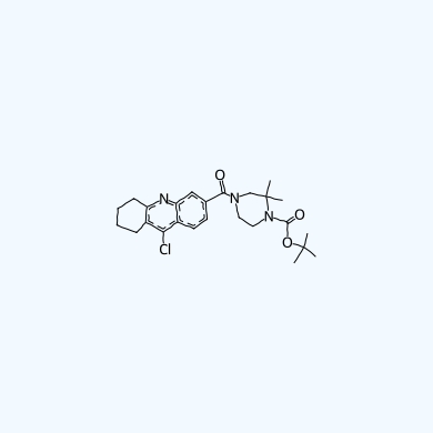 CC(C)(C)OC(=O)N1CCN(C(=O)c2ccc3c(Cl)c4c(nc3c2)CCCC4)CC1(C)C